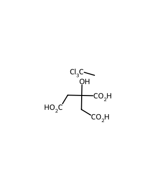 CC(Cl)(Cl)Cl.O=C(O)CC(O)(CC(=O)O)C(=O)O